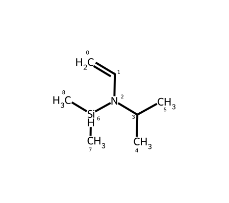 C=CN(C(C)C)[SiH](C)C